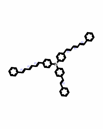 C(=C\C=C\c1ccc(N(c2ccc(/C=C/C=C/C=C/c3ccccc3)cc2)c2ccc(/C=C/c3ccccc3)cc2)cc1)/C=C/c1ccccc1